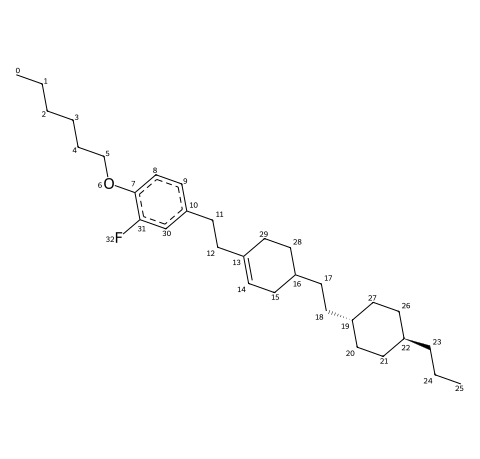 CCCCCCOc1ccc(CCC2=CCC(CC[C@H]3CC[C@H](CCC)CC3)CC2)cc1F